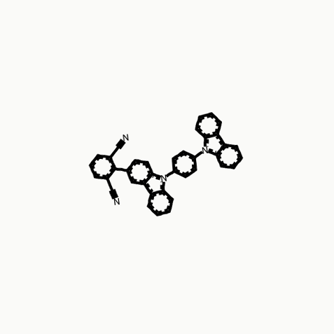 N#Cc1cccc(C#N)c1-c1ccc2c(c1)c1ccccc1n2-c1ccc(-n2c3ccccc3c3ccccc32)cc1